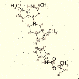 CC(=N)CC(c1cnn(C)c1)N1CCc2c(c(C)nn2CC23CCC(NC(=O)OC4(C)CC4)(CC2)CC3)C1